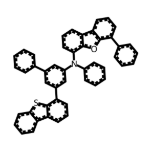 c1ccc(-c2cc(-c3cccc4c3sc3ccccc34)cc(N(c3ccccc3)c3cccc4c3oc3c(-c5ccccc5)cccc34)c2)cc1